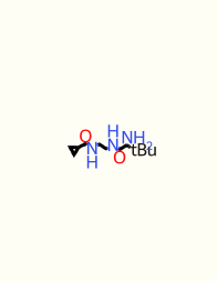 CC(C)(C)C(N)C(=O)NCCNC(=O)C1CC1